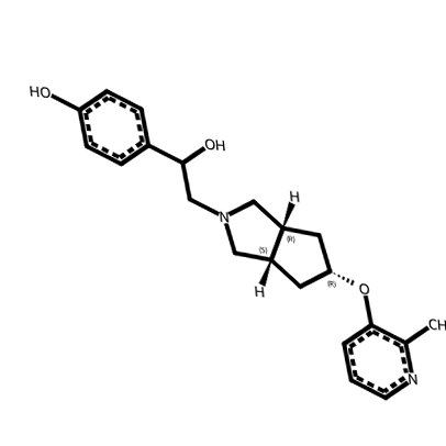 Cc1ncccc1O[C@@H]1C[C@@H]2CN(CC(O)c3ccc(O)cc3)C[C@@H]2C1